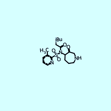 [CH2]C[C@H](C)CC(=O)N(C1CCCNCC1=O)S(=O)(=O)c1ncccc1C